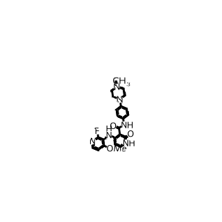 COc1ccnc(F)c1Nc1cc[nH]c(=O)c1C(=O)Nc1ccc(N2CCN(C)CC2)cc1